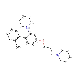 Cc1ccccc1-c1ccc(OCCCN2CCCCC2)cc1N1CCCCC1